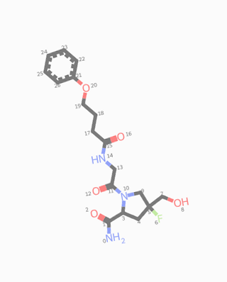 NC(=O)C1CC(F)(CO)CN1C(=O)CNC(=O)CCCOc1ccccc1